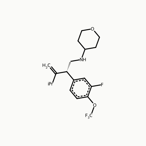 C=C(C(C)C)[C@H](CNC1CCOCC1)c1ccc(OC(F)(F)F)c(F)c1